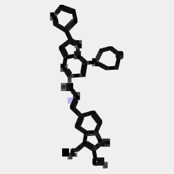 Cc1[nH]c2ccc(/C=N/Nc3cc(N4CCOCC4)n4nc(-c5cccnc5)cc4n3)cc2c1C